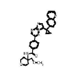 COCC1(NC(=O)c2ccc(-c3cnc4ncc(C5(c6ccc7ncccc7c6)CC5)n4n3)cc2)CCOCC1